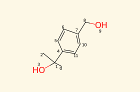 CC(C)(O)c1ccc(CO)cc1